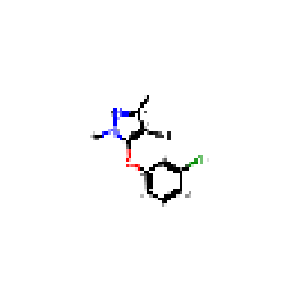 CCc1c(C)nn(C)c1Oc1cccc(Cl)c1